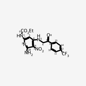 CCOC(=O)Nc1cc(NCC(=O)c2ccc(C(F)(F)F)cc2)c([N+](=O)[O-])c(N)n1